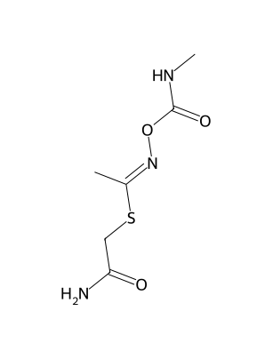 CNC(=O)O/N=C(\C)SCC(N)=O